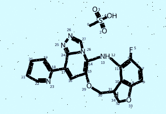 CS(=O)(=O)O.Fc1ccc2c3c1CNc1c(cc(-c4ccccn4)c4nncn14)OC[C@@H]3CO2